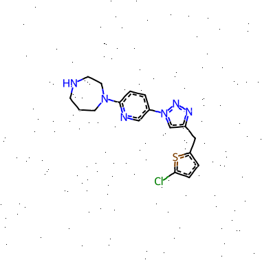 Clc1ccc(Cc2cn(-c3ccc(N4CCCNCC4)nc3)nn2)s1